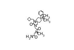 CN(CC(N)=O)C(=O)CN1CC2(CCC(c3ccccc3)(N(C)C)CC2)N(CC2CCC2)C1=O